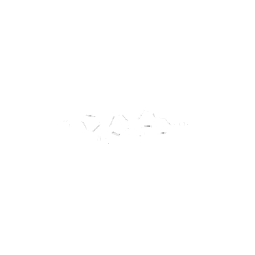 Bc1cc(C)ccc1C1=CC=C2c3ccc4cc(C)ccc4c3BC2C#C1